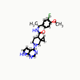 COc1ccc([C@@H](C)NC(=O)C2CCN(c3ncnc4[nH]ccc34)CC23CC3)cc1F